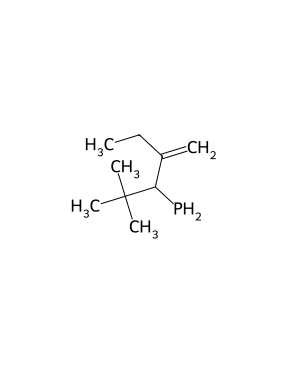 C=C(CC)C(P)C(C)(C)C